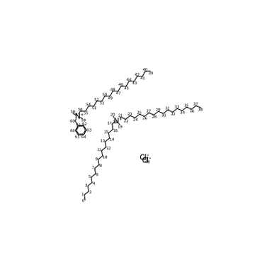 CCCCCCCCCCCCCCCCCC[N+](C)(C)CCCCCCCCCCCCCCCCCC.CCCCCCCCCCCCCCCCCC[N+](C)(C)Cc1ccccc1.[Cl-].[Cl-]